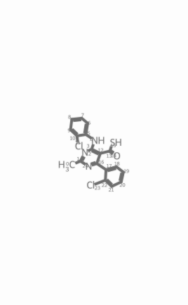 Cc1nc(Nc2ccccc2Cl)c(C(=O)S)c(-c2ccccc2Cl)n1